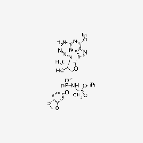 CCOc1nc(N)nc2c1ncn2[C@@H]1O[C@H](COP(=O)(N[C@@H](C)C(=O)OC(C)C)Oc2ccc3c(c2)OCO3)[C@@H](O)[C@@]1(C)N=[N+]=[N-]